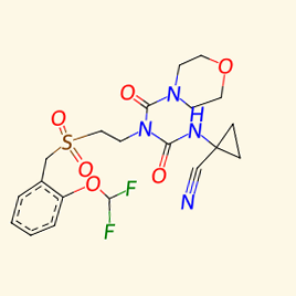 N#CC1(NC(=O)N(CCS(=O)(=O)Cc2ccccc2OC(F)F)C(=O)N2CCOCC2)CC1